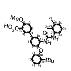 COc1ccc(-c2ccc(Oc3ccccc3C(C)(C)C)c(NC(=O)Nc3cccc(C)c3C)c2)cc1C(=O)O